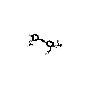 NCc1cc(C#Cc2ccc(F)c(OC(F)F)c2)ccc1OC(F)F